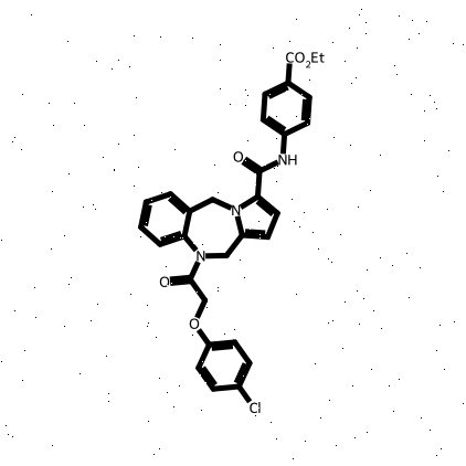 CCOC(=O)c1ccc(NC(=O)c2ccc3n2Cc2ccccc2N(C(=O)COc2ccc(Cl)cc2)C3)cc1